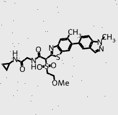 COCCS(=O)(=O)C(C(=O)NCC(=O)NC1CC1)c1nc2cc(C)c(-c3ccc4c(cnn4C)c3)cc2s1